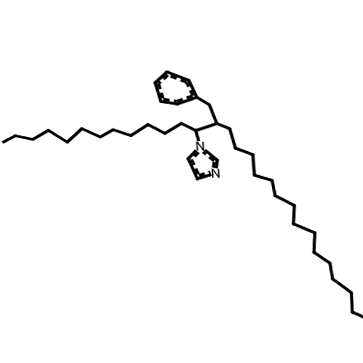 CCCCCCCCCCCCCCCC(Cc1ccccc1)C(CCCCCCCCCCCC)n1ccnc1